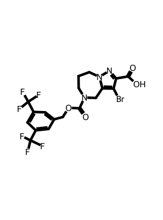 O=C(O)c1nn2c(c1Br)CN(C(=O)OCc1cc(C(F)(F)F)cc(C(F)(F)F)c1)CCC2